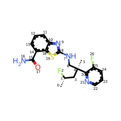 C[C@H](F)C[C@@](C)(CNc1nc2cccc(C(N)=O)c2s1)c1ncccc1F